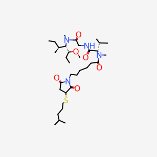 CCC(OC)[C@H]([C@@H](C)CC)N(C)C(=O)CNC(=O)[C@H](C(C)C)N(C)C(=O)CCCCCN1C(=O)CC(SCCCC(C)C)C1=O